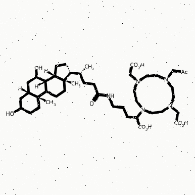 CC(=O)CN1CCN(CC(=O)O)CCN(C(CCCNC(=O)CC[C@@H](C)[C@H]2CC[C@H]3[C@H]4C(O)C[C@H]5CC(O)CC[C@@]5(C)C4CC[C@@]23C)C(=O)O)CCN(CC(=O)O)CC1